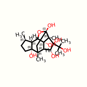 C[C@@H]1CC[C@@]2(O)[C@@H]1[C@H]1O[C@@]3(O)C[C@]2(C)[C@@H]2[C@@H](O)[C@](O)(C(C)(C)O)[C@@]3(C)[C@]12O